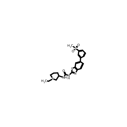 CCN1CCCC(NC(=O)Nc2nc3ccc(-c4cccc(S(C)(=O)=O)c4)cc3s2)C1